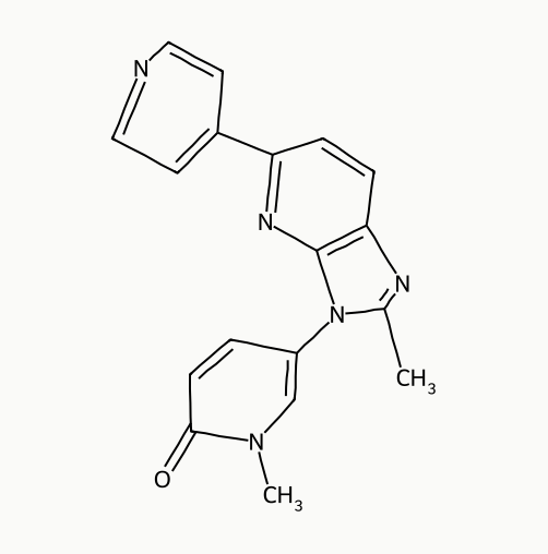 Cc1nc2ccc(-c3ccncc3)nc2n1-c1ccc(=O)n(C)c1